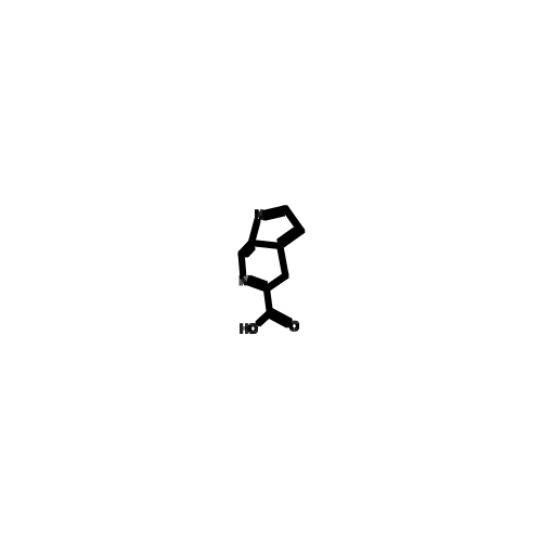 O=C(O)C1=NC=C2N=CC=C2C1